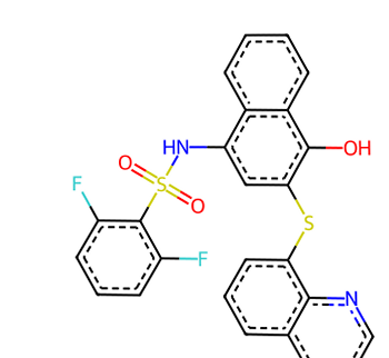 O=S(=O)(Nc1cc(Sc2cccc3cccnc23)c(O)c2ccccc12)c1c(F)cccc1F